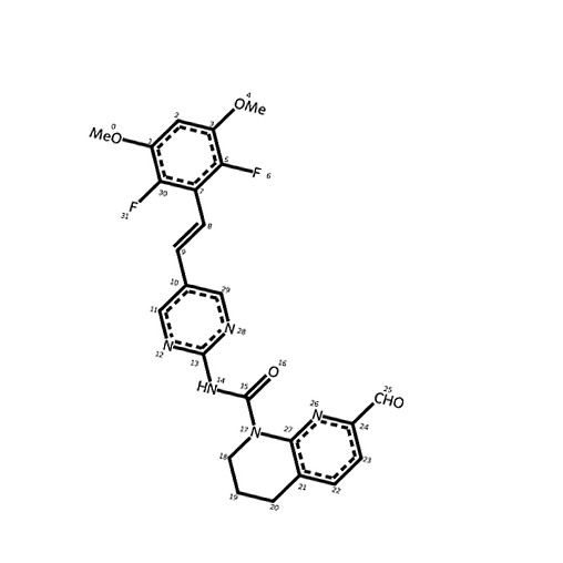 COc1cc(OC)c(F)c(C=Cc2cnc(NC(=O)N3CCCc4ccc(C=O)nc43)nc2)c1F